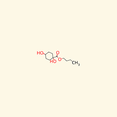 CCCCOC(=O)[C@]1(O)CC[C@@H](O)CC1